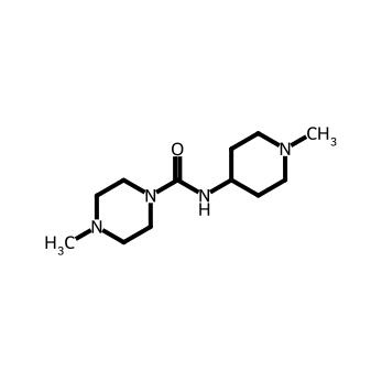 CN1CCC(NC(=O)N2CCN(C)CC2)CC1